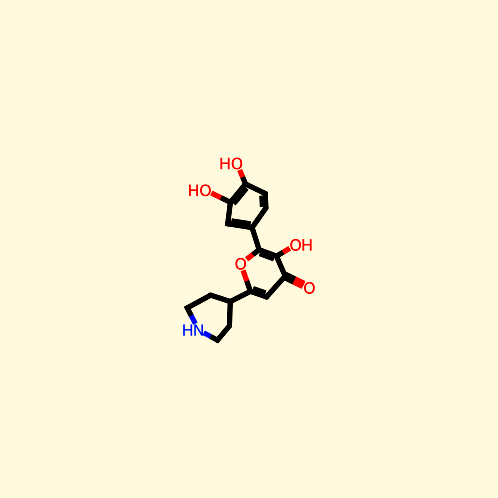 O=c1cc(C2CCNCC2)oc(-c2ccc(O)c(O)c2)c1O